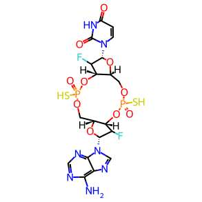 Nc1ncnc2c1ncn2[C@@H]1O[C@@H]2COP(=O)(S)O[C@@H]3C(F)[C@H](n4ccc(=O)[nH]c4=O)O[C@@H]3COP(=O)(S)O[C@@H]2C1F